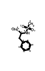 CS(=O)(=O)NC([C]=O)Cc1ccccc1